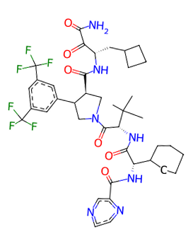 CC(C)(C)[C@H](NC(=O)[C@@H](NC(=O)c1cnccn1)C1CCCCC1)C(=O)N1CC(c2cc(C(F)(F)F)cc(C(F)(F)F)c2)[C@@H](C(=O)N[C@@H](CC2CCC2)C(=O)C(N)=O)C1